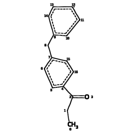 CCC(=O)c1ccc(Cc2cc[c]cc2)cc1